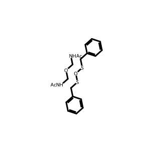 CC(=O)NCOCNC(C)=O.c1ccc(CSOSCc2ccccc2)cc1